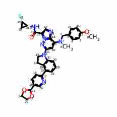 COc1ccc(CN(C)c2cc(N3CCc4c(-c5ccc(C6OCCO6)cn5)cccc43)nn3c(C(=O)N[C@@H]4C[C@@H]4F)cnc23)cc1